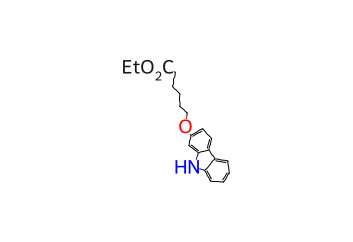 CCOC(=O)CCCCCOc1ccc2c(c1)[nH]c1ccccc12